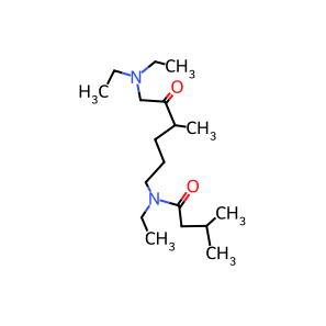 CCN(CC)CC(=O)C(C)CCCN(CC)C(=O)CC(C)C